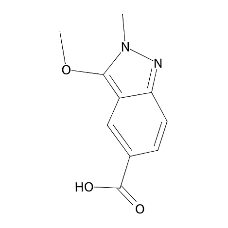 COc1c2cc(C(=O)O)ccc2nn1C